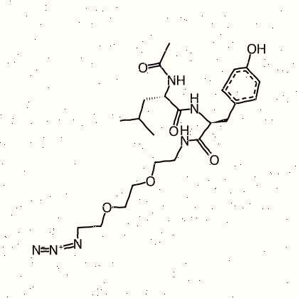 CC(=O)N[C@@H](CC(C)C)C(=O)N[C@@H](Cc1ccc(O)cc1)C(=O)NCCOCCOCCN=[N+]=[N-]